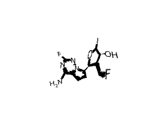 Nc1nc(F)nn2c([C@H]3OC(I)[C@H](O)C3=CF)ccc12